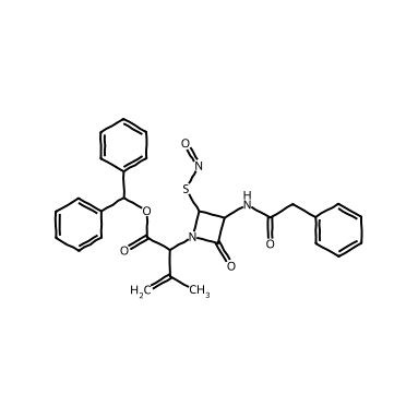 C=C(C)C(C(=O)OC(c1ccccc1)c1ccccc1)N1C(=O)C(NC(=O)Cc2ccccc2)C1SN=O